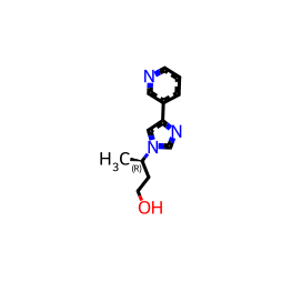 C[C@H](CCO)n1cnc(-c2cccnc2)c1